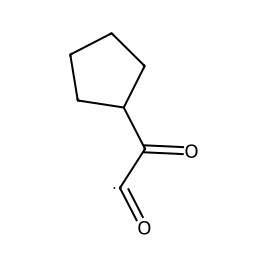 O=[C]C(=O)C1CCCC1